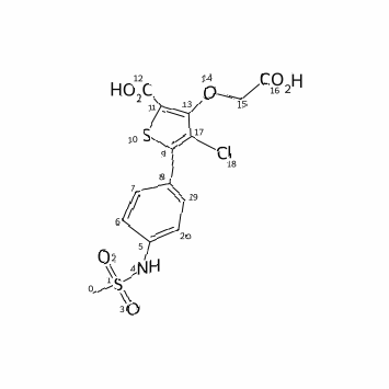 CS(=O)(=O)Nc1ccc(-c2sc(C(=O)O)c(OCC(=O)O)c2Cl)cc1